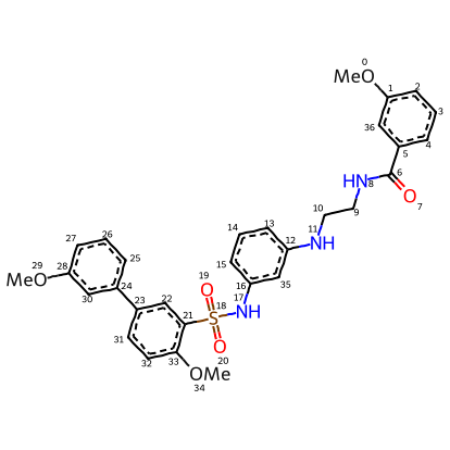 COc1cccc(C(=O)NCCNc2cccc(NS(=O)(=O)c3cc(-c4cccc(OC)c4)ccc3OC)c2)c1